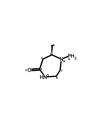 C[C@@H]1CC(=O)NCCN1P